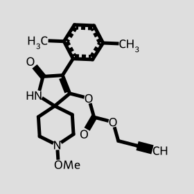 C#CCOC(=O)OC1=C(c2cc(C)ccc2C)C(=O)NC12CCN(OC)CC2